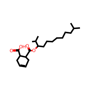 CC(C)CCCCCCCC(OC(=O)C1CC=CCC1C(=O)O)C(C)C